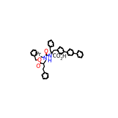 CC(C)CN(CC(CCc1ccccc1)C(=O)OCc1ccccc1)C(=O)N[C@@](Cc1ccccc1)(Cc1ccc(-c2ccc(-c3ccccc3)cc2)cc1)C(=O)O